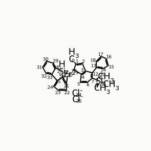 CC1=Cc2c(ccc([Si](C)(C)C)c2-c2ccccc2)[CH]1[Zr+2]1[c]2cccc3c2[SiH]1c1ccccc1-3.[Cl-].[Cl-]